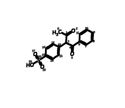 CC(=O)C(C(=O)c1ccccc1)c1ccc(S(=O)(=O)O)cc1